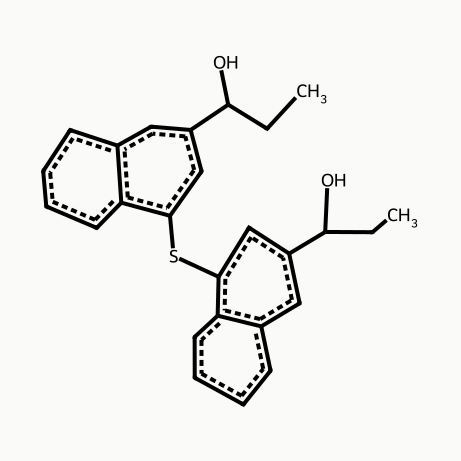 CCC(O)c1cc(Sc2cc(C(O)CC)cc3ccccc23)c2ccccc2c1